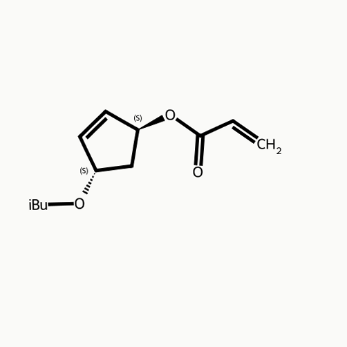 C=CC(=O)O[C@@H]1C=C[C@@H](OC(C)CC)C1